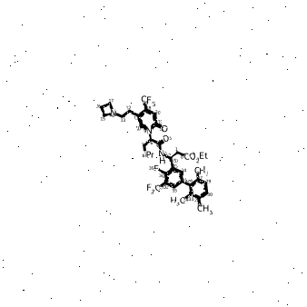 CCOC(=O)C[C@H](NC(=O)C(CC(C)C)n1cc(CCN2CCC2)c(C(F)(F)F)cc1=O)c1cc(-c2c(C)ccc(C)c2C)cc(C(F)(F)F)c1F